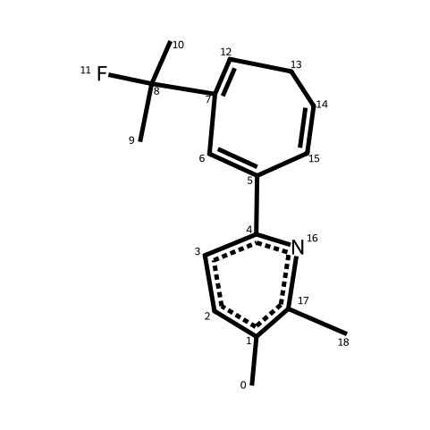 Cc1ccc(C2=CC(C(C)(C)F)=CCC=C2)nc1C